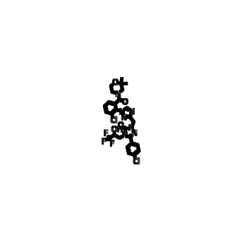 CC1(C)CN(C(=O)c2cccc(Cl)c2-n2cnc(Cn3nc(-c4ccc(Cl)cc4)n(CC(O)C(F)(F)F)c3=O)n2)CCO1